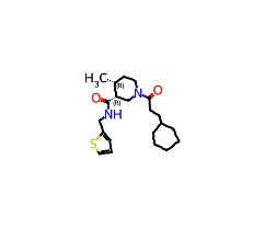 C[C@@H]1CCN(C(=O)CCC2CCCCC2)C[C@@H]1C(=O)NCc1cccs1